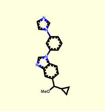 COC(c1ccc2c(c1)ncn2-c1cccc(-n2ccnc2)c1)C1CC1